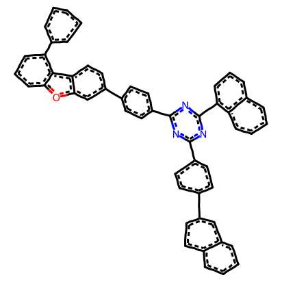 c1ccc(-c2cccc3oc4cc(-c5ccc(-c6nc(-c7ccc(-c8ccc9ccccc9c8)cc7)nc(-c7cccc8ccccc78)n6)cc5)ccc4c23)cc1